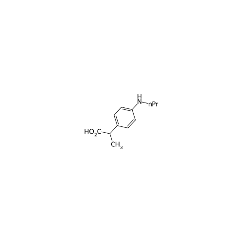 CCCNc1ccc(C(C)C(=O)O)cc1